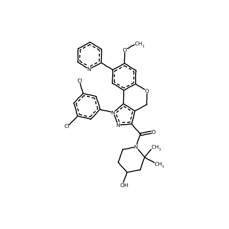 COc1cc2c(cc1-c1ccccn1)-c1c(c(C(=O)N3CCC(O)CC3(C)C)nn1-c1cc(Cl)cc(Cl)c1)CO2